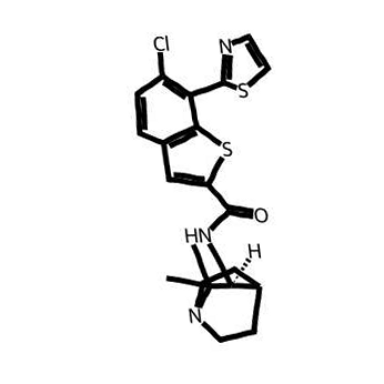 CC1(C)[C@@H](NC(=O)c2cc3ccc(Cl)c(-c4nccs4)c3s2)C2CCN1CC2